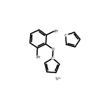 CC(C)c1cccc(C(C)C)c1O[c-]1cccc1.[Ti+2].c1cc[cH-]c1